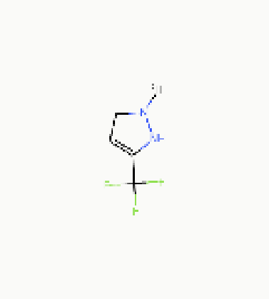 [2H]N1CC=C(C(F)(F)F)N1